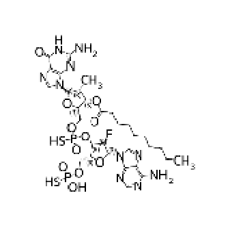 CCCCCCCCCC(=O)O[C@H]1[C@@H](C)[C@H](n2cnc3c(=O)[nH]c(N)nc32)O[C@@H]1COP(=O)(S)O[C@H]1[C@@H](F)[C@H](n2cnc3c(N)ncnc32)O[C@@H]1COP(=O)(O)S